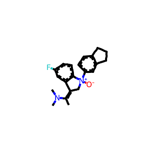 CC(=C1C[N+]([O-])(c2ccc3c(c2)CCC3)c2ccc(F)cc21)N(C)C